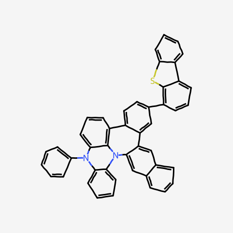 c1ccc(N2c3ccccc3N3c4cc5ccccc5cc4-c4cc(-c5cccc6c5sc5ccccc56)ccc4-c4cccc2c43)cc1